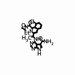 CCC1CON1C(=O)c1nc([C@H](C)Nc2ncnc3[nH]cc(C(N)=O)c23)cc2cccc(Cl)c12